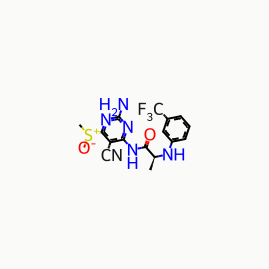 C[C@H](Nc1cccc(C(F)(F)F)c1)C(=O)Nc1nc(N)nc([S+](C)[O-])c1C#N